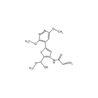 C=CC(=O)Nc1cc(-c2cc(OC)nnc2OC)sc1C(O)OC